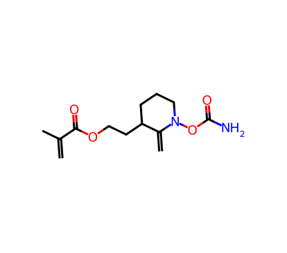 C=C(C)C(=O)OCCC1CCCN(OC(N)=O)C1=C